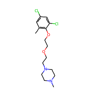 Cc1cc(Cl)cc(Cl)c1OCCOCCN1CCN(C)CC1